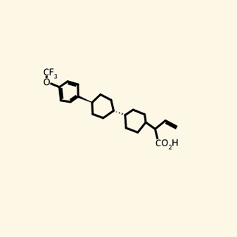 C=CC(C(=O)O)C1CCC([C@H]2CC[C@H](c3ccc(OC(F)(F)F)cc3)CC2)CC1